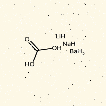 O=C(O)O.[BaH2].[LiH].[NaH]